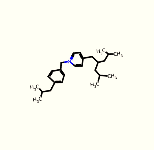 CC(C)Cc1ccc(C[n+]2ccc(CC(CC(C)C)CC(C)C)cc2)cc1